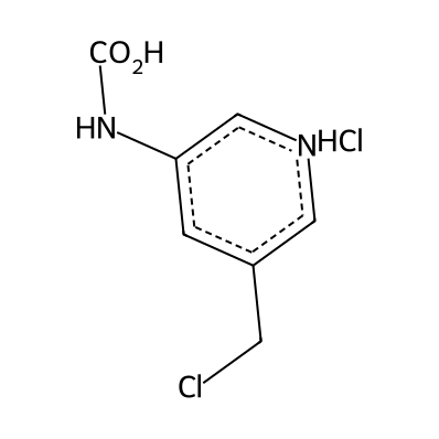 Cl.O=C(O)Nc1cncc(CCl)c1